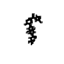 Cc1cnc(Nc2cnn(C)c2)nc1N1C[C@]2(C)CN(C(=O)CC(F)(F)F)C[C@]2(C)C1